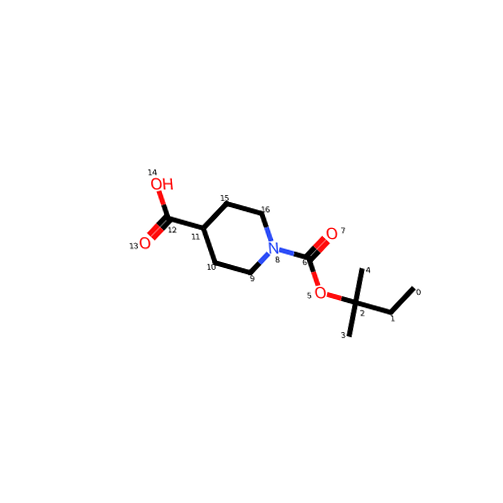 CCC(C)(C)OC(=O)N1CCC(C(=O)O)CC1